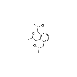 CC(Cl)Cc1cccc(CC(C)Cl)c1CC(C)Cl